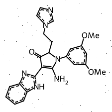 COc1cc(OC)cc(N2C(N)=C(c3nc4ccccc4[nH]3)C(=O)C2CCn2ccnc2)c1